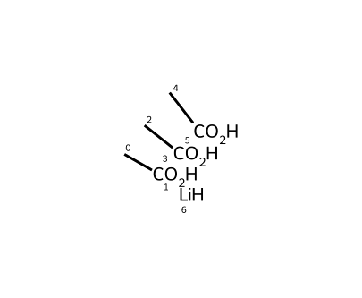 CC(=O)O.CC(=O)O.CC(=O)O.[LiH]